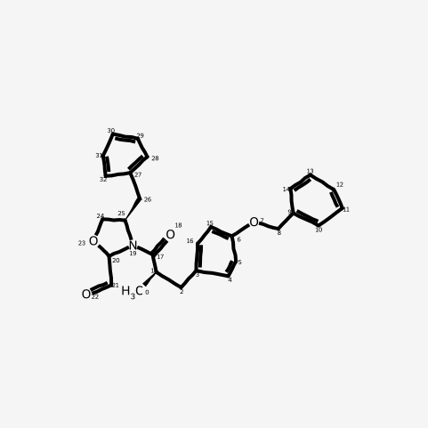 C[C@H](Cc1ccc(OCc2ccccc2)cc1)C(=O)N1C(C=O)OC[C@H]1Cc1ccccc1